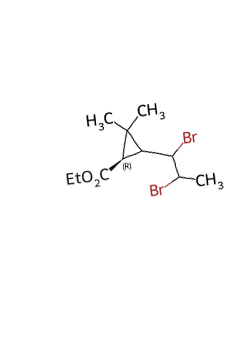 CCOC(=O)[C@@H]1C(C(Br)C(C)Br)C1(C)C